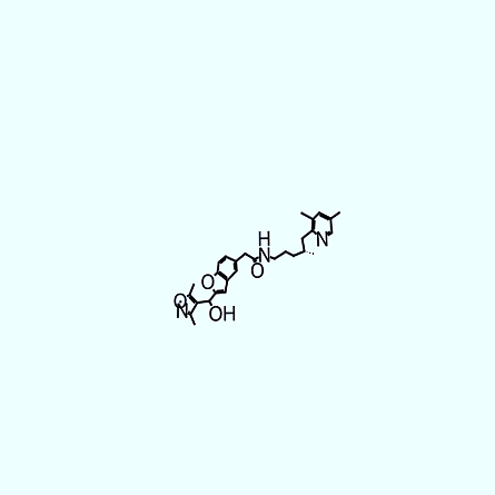 Cc1cnc(C[C@H](C)CCCNC(=O)Cc2ccc3oc(C(O)c4c(C)noc4C)cc3c2)c(C)c1